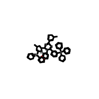 CC1C=C(C2=NC(C3CC(C)C=C([SiH](C4=CC=CCC4)c4ccccc4)[C@H]3c3ccccc3)N(C)C(c3cccc(S(c4ccccc4)(c4ccccc4)C4C=CC=CC4)c3)=N2)C=CC1